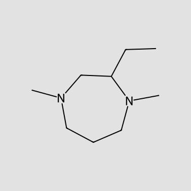 CCC1CN(C)CCCN1C